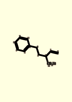 C=CC(CCc1ccccc1)C(=O)OCC